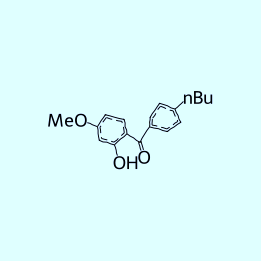 CCCCc1ccc(C(=O)c2ccc(OC)cc2O)cc1